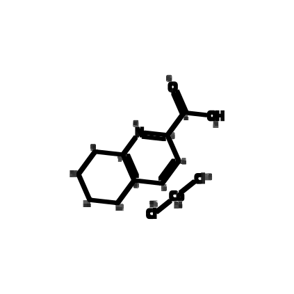 O=C(O)c1ccc2c(n1)CCCC2.[Cl][Co][Cl]